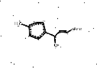 CCCCCC=CC(C)c1ccc(C)cc1